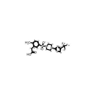 Cc1ccc(S(=O)(=O)N2CCN(c3nc(C(F)(F)F)cs3)CC2)cc1CC(=O)O